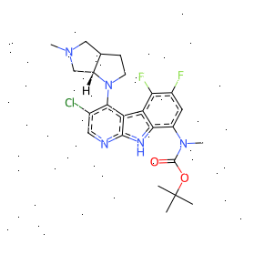 CN1CC2CCN(c3c(Cl)cnc4[nH]c5c(N(C)C(=O)OC(C)(C)C)cc(F)c(F)c5c34)[C@@H]2C1